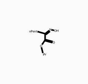 CCCCCC(=NO)C(=O)OC(C)C